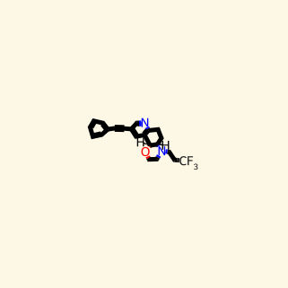 FC(F)(F)CCN1CCO[C@H]2c3cc(C#Cc4ccccc4)cnc3CC[C@H]21